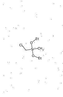 CCO[Si](C)([CH]Cl)OCC